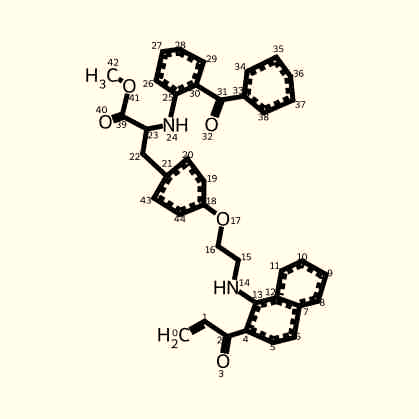 C=CC(=O)c1ccc2ccccc2c1NCCOc1ccc(CC(Nc2ccccc2C(=O)c2ccccc2)C(=O)OC)cc1